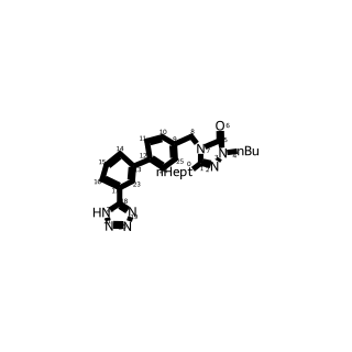 CCCCCCCc1nn(CCCC)c(=O)n1Cc1ccc(-c2cccc(-c3nnn[nH]3)c2)cc1